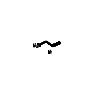 C=CCN.[H]